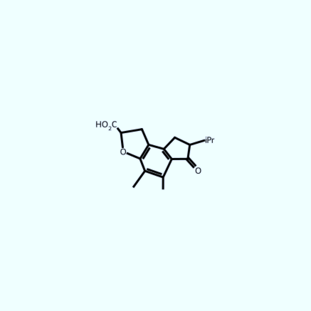 Cc1c(C)c2c(c3c1OC(C(=O)O)C3)CC(C(C)C)C2=O